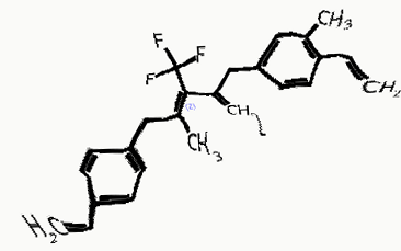 C=Cc1ccc(C/C(C)=C(/C(=C)Cc2ccc(C=C)c(C)c2)C(F)(F)F)cc1